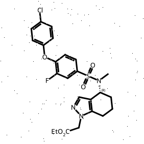 CCOC(=O)Cn1ncc2c1CCC[C@H]2N(C)S(=O)(=O)c1ccc(Oc2ccc(Cl)cc2)c(F)c1